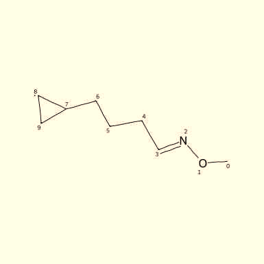 CON=CCCCC1[CH]C1